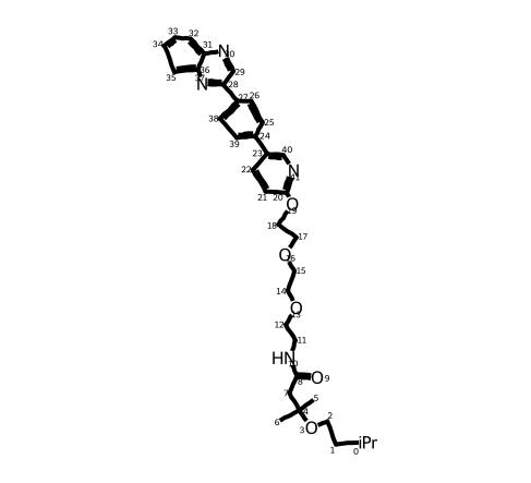 CC(C)CCOC(C)(C)CC(=O)NCCOCCOCCOc1ccc(-c2ccc(-c3cnc4ccccc4n3)cc2)cn1